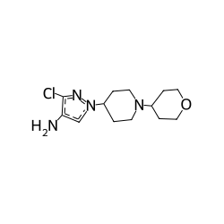 Nc1cn(C2CCN(C3CCOCC3)CC2)nc1Cl